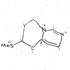 CSC1CCn2cncc2O1